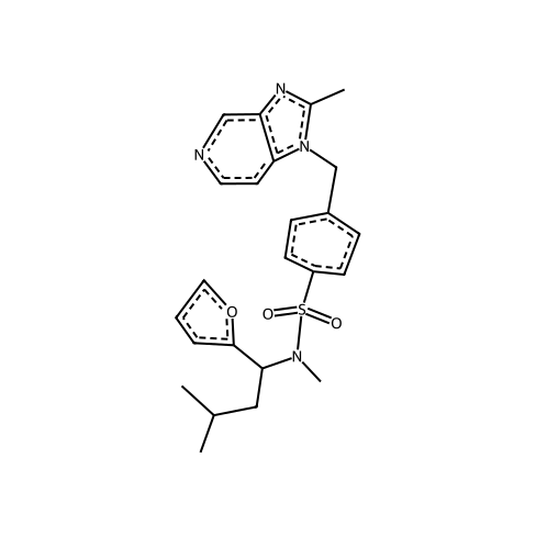 Cc1nc2cnccc2n1Cc1ccc(S(=O)(=O)N(C)C(CC(C)C)c2ccco2)cc1